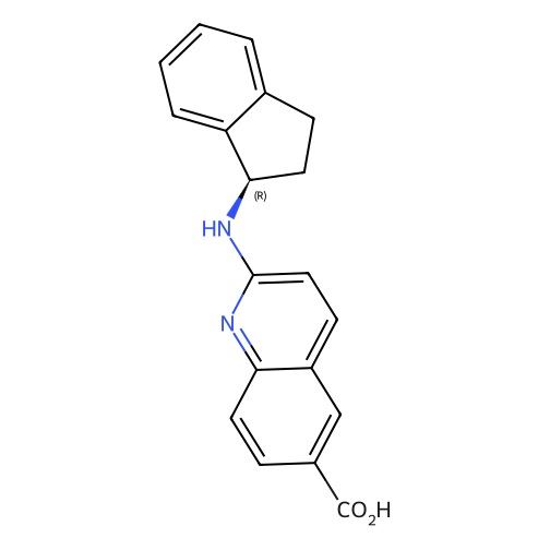 O=C(O)c1ccc2nc(N[C@@H]3CCc4ccccc43)ccc2c1